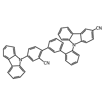 N#Cc1ccc2c(c1)c1ccccc1n2-c1ccccc1-c1cccc(-c2ccc(-n3c4ccccc4c4ccccc43)cc2C#N)c1